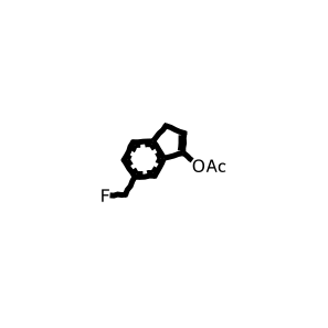 CC(=O)OC1=CCc2ccc(CF)cc21